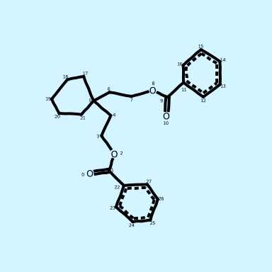 O=C(OCCC1(CCOC(=O)c2ccccc2)CCCCC1)c1ccccc1